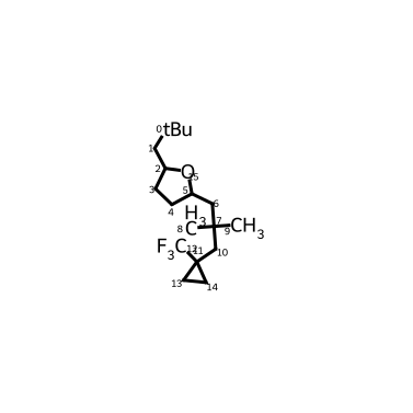 CC(C)(C)CC1CCC(CC(C)(C)CC2(C(F)(F)F)CC2)O1